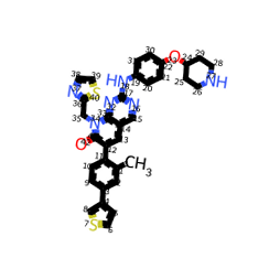 Cc1cc(-c2ccsc2)ccc1-c1cc2cnc(Nc3ccc(OC4CCNCC4)cc3)nc2n(Cc2nccs2)c1=O